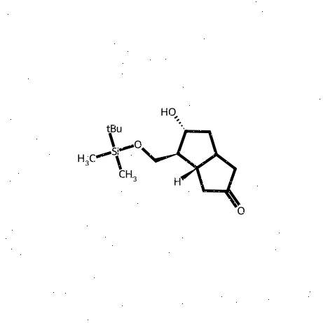 CC(C)(C)[Si](C)(C)OC[C@H]1[C@H](O)CC2CC(=O)C[C@@H]21